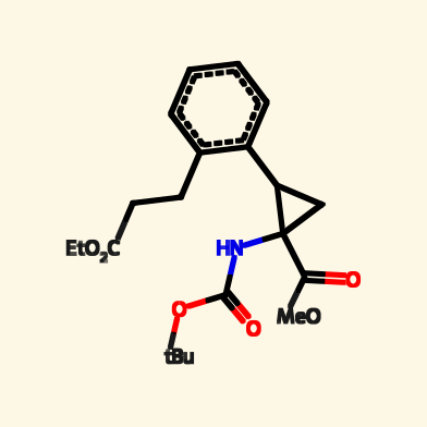 CCOC(=O)CCc1ccccc1C1CC1(NC(=O)OC(C)(C)C)C(=O)OC